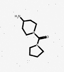 NC1CCN(C(=O)N2CCCC2)CC1